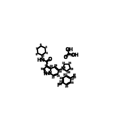 O=C(NC1CCCCC1)c1cnn2ccc(N3CCC[C@@H]3c3cc(F)ccc3F)cc12.O=C(O)O